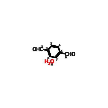 O.O=Cc1ccc(C=O)cc1